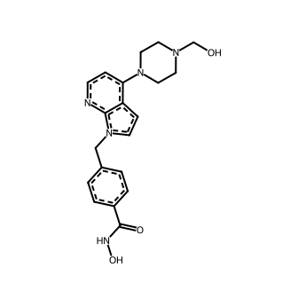 O=C(NO)c1ccc(Cn2ccc3c(N4CCN(CO)CC4)ccnc32)cc1